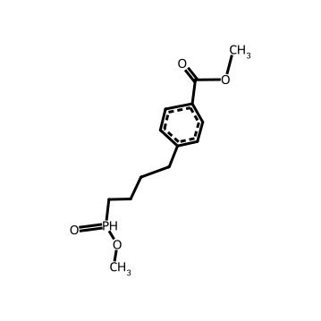 COC(=O)c1ccc(CCCC[PH](=O)OC)cc1